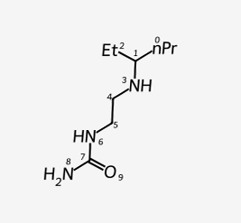 CCCC(CC)NCCNC(N)=O